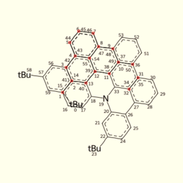 CC(C)(C)c1cc(-c2cccc3cccc(-c4ccccc4N(c4cc(C(C)(C)C)ccc4-c4ccccc4)c4ccccc4-c4cccc5cccc(-c6ccccc6)c45)c23)cc(C(C)(C)C)c1